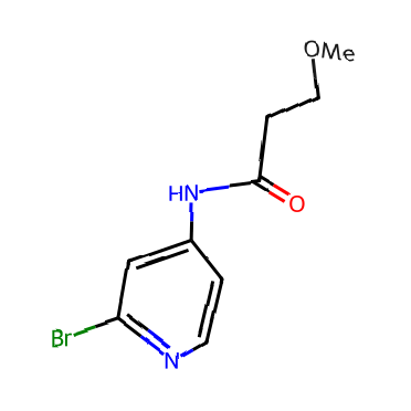 COCCC(=O)Nc1ccnc(Br)c1